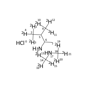 Cl.[2H]C([2H])([2H])C(C(C)N)C([2H])([2H])[2H].[2H]C([2H])([2H])NC([2H])([2H])[2H]